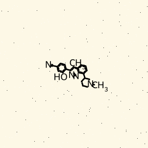 Cc1c(-c2ccc(C#N)cc2O)nnc2c(C3CCCN(C)C3)cccc12